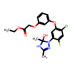 CCOC(=O)COc1cccc(Oc2cc(N3N=C(C)NC3(C)O)c(F)cc2Cl)c1